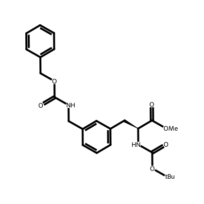 COC(=O)[C@H](Cc1cccc(CNC(=O)OCc2ccccc2)c1)NC(=O)OC(C)(C)C